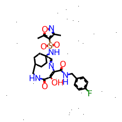 Cc1noc(C)c1S(=O)(=O)NC12/C=N/C(C(=O)NCc3ccc(F)cc3)=C(/O)C(=O)NCC(CC1)CC2